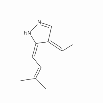 C/C=c1\cn[nH]\c1=C\C=C(C)C